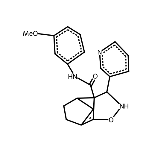 COc1cccc(NC(=O)C23C(=C4CCC2C4)ONC3c2cccnc2)c1